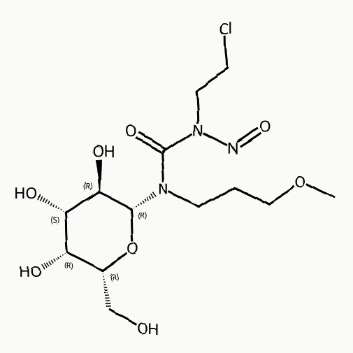 COCCCN(C(=O)N(CCCl)N=O)[C@@H]1O[C@H](CO)[C@H](O)[C@H](O)[C@H]1O